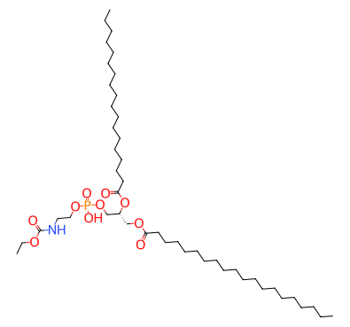 CCCCCCCCCCCCCCCCCCCC(=O)OC[C@H](COP(=O)(O)OCCNC(=O)OCC)OC(=O)CCCCCCCCCCCCCCCCC